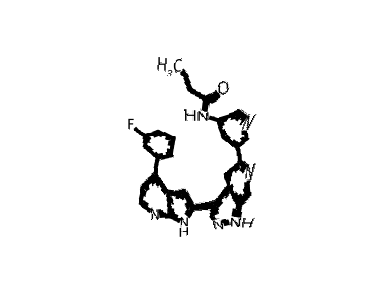 CCCC(=O)Nc1cncc(-c2cc3c(-c4cc5c(-c6cccc(F)c6)ccnc5[nH]4)n[nH]c3cn2)c1